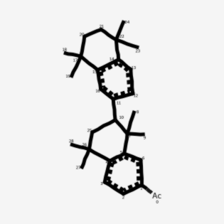 CC(=O)c1ccc2c(c1)C(C)(C)C(c1ccc3c(c1)C(C)(C)CCC3(C)C)CC2(C)C